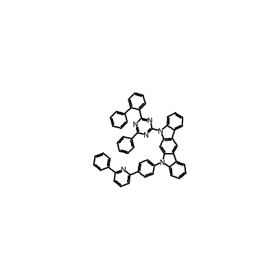 c1ccc(-c2cccc(-c3ccc(-n4c5ccccc5c5cc6c7ccccc7n(-c7nc(-c8ccccc8)nc(-c8ccccc8-c8ccccc8)n7)c6cc54)cc3)n2)cc1